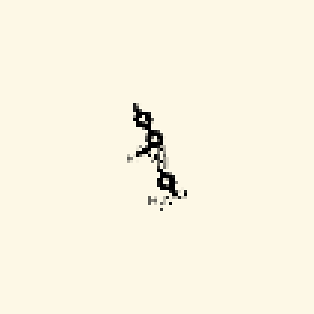 CCOc1nc(NCc2ccc(C(N)=O)cc2)nc2ccc(-c3ccc(F)cc3)nc12